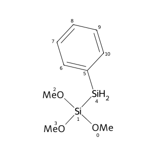 CO[Si](OC)(OC)[SiH2]c1ccccc1